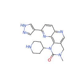 CN1Cc2cnc3ccc(-c4cn[nH]c4)nc3c2N(C2CCNCC2)C1=O